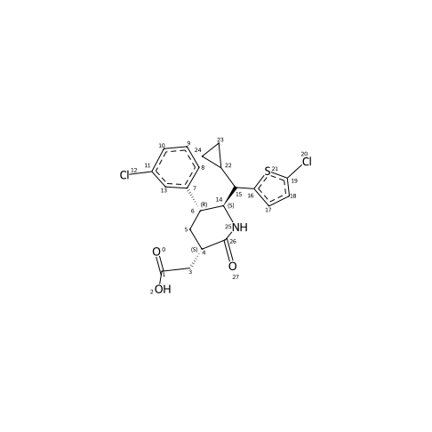 O=C(O)C[C@@H]1C[C@H](c2cccc(Cl)c2)[C@@H](C(c2ccc(Cl)s2)C2CC2)NC1=O